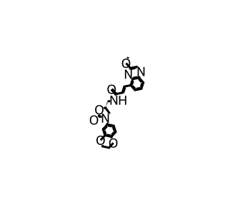 COc1cnc2cccc(C=CC(=O)NC[C@@H]3CN(c4ccc5c(c4)OCCO5)C(=O)O3)c2n1